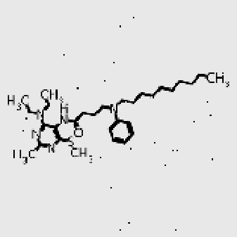 CCCCCCCCCCN(CCCC(=O)Nc1c(SC)nc(C)nc1N(CC)CC)c1ccccc1